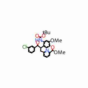 COC(=O)c1cccc(CC(C(=O)c2cccc(Cl)c2)c2ccc(OC)cc2NC(=O)OC(C)(C)C)n1